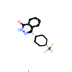 O=c1[nH]nc([C@H]2CC[C@@H](C(F)(F)F)CC2)c2ccccc12